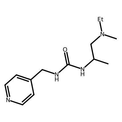 CCN(C)CC(C)NC(=O)NCc1ccncc1